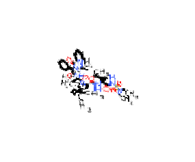 CCC1CC1(NC(=O)[C@@H]1C[C@@]2(CN1C(=O)[C@@H](NC(=O)C(NC(=O)[C@@H]1CCCCN1C(C)C)C1CCCCC1)C(C)(C)C)C(C)(C)C21CCC1)C(=O)NS(=O)(=O)N(CC)CC